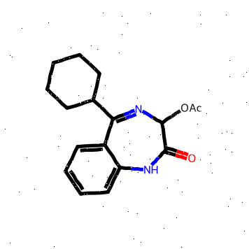 CC(=O)OC1N=C(C2CCCCC2)c2ccccc2NC1=O